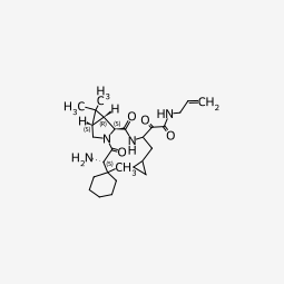 C=CCNC(=O)C(=O)C(CC1CC1)NC(=O)[C@@H]1[C@@H]2[C@H](CN1C(=O)[C@@H](N)C1(C)CCCCC1)C2(C)C